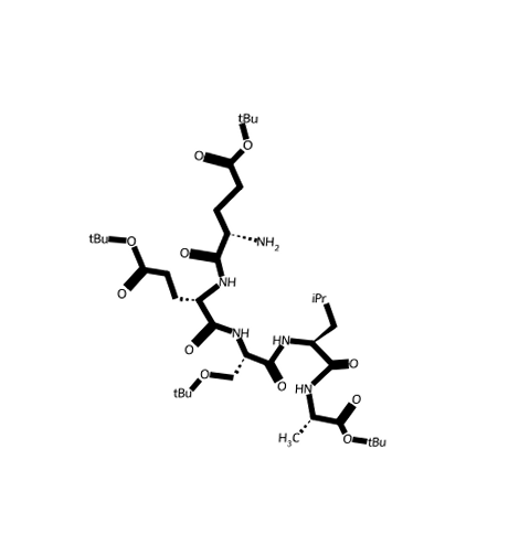 CC(C)C[C@H](NC(=O)[C@H](COC(C)(C)C)NC(=O)[C@H](CCC(=O)OC(C)(C)C)NC(=O)[C@@H](N)CCC(=O)OC(C)(C)C)C(=O)N[C@@H](C)C(=O)OC(C)(C)C